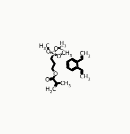 C=C(C)C(=O)OCCC[Si](OC)(OC)OC.C=Cc1ccccc1C=C